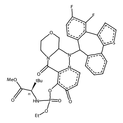 CCOP(=O)(N[C@@H](C(=O)OC)C(C)(C)C)Oc1c2n(ccc1=O)N(C1c3ccccc3-c3sccc3-c3c1ccc(F)c3F)C1COCCN1C2=O